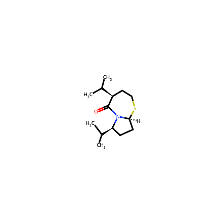 CC(C)[C@H]1CCS[C@H]2CC[C@@H](C(C)C)N2C1=O